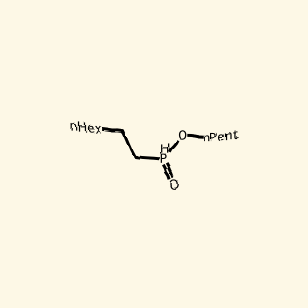 CCCCCCCC[PH](=O)OCCCCC